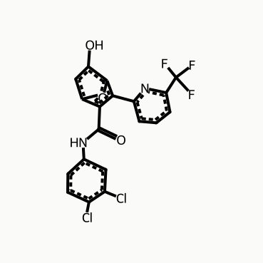 O=C(Nc1ccc(Cl)c(Cl)c1)c1c(-c2cccc(C(F)(F)F)n2)c2oc1cc2O